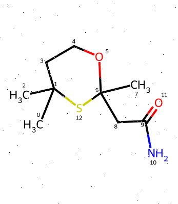 CC1(C)CCOC(C)(CC(N)=O)S1